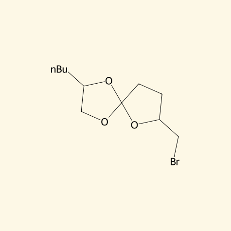 CCCCC1COC2(CCC(CBr)O2)O1